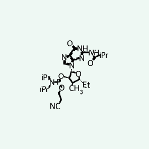 CC[C@H]1O[C@@H](n2cnc3c(=O)[nH]c(NC(=O)C(C)C)nc32)[C@H](OP(OCCC#N)N(C(C)C)C(C)C)[C@@H]1C